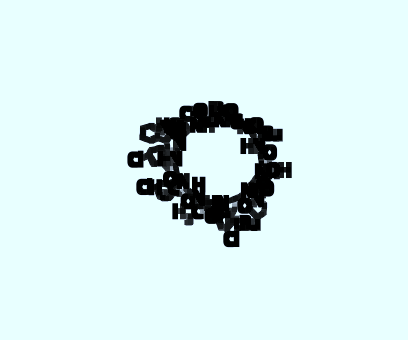 CC[C@H](C)[C@@H]1NC(=O)CNC(=O)[C@H]([C@@H](C)CC)NC(=O)[C@H](CO)NC(=O)C(C(=O)N2CCC(C(C)(C)C)CC2)NC(=O)[C@H](Cc2cccc(Cl)c2)NC(=O)[C@H]([C@@H](C)O)NC(=O)[C@H](Cc2ccc(Cl)cc2)N(C)C(=O)[C@H](Cc2cccc(Cl)c2)N[C@H](Cc2c[nH]c3ccccc23)NC(=O)[C@H]([C@@H](C)O)NC1=O